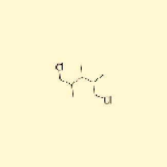 CC(CCl)C(C)C(C)CCl